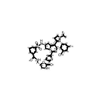 O=C1NC[C@H](CNC(=O)c2cccc(S(=O)(=O)N[C@H]3CC4=C(c5ccn(C(F)F)n5)[C@H](c5ccc(F)cc5Cl)N=C(c5nccs5)N4C3)c2)O1